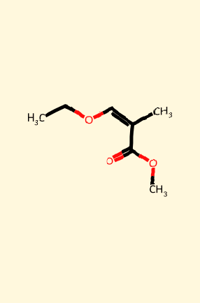 CCOC=C(C)C(=O)OC